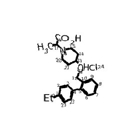 CCc1ccc(-c2ccccc2COC2CCN(C(C)C(=O)O)CC2)cc1.Cl